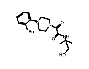 CC(C)(CO)NC(=O)C(=O)N1CCN(c2ccccc2C(C)(C)C)CC1